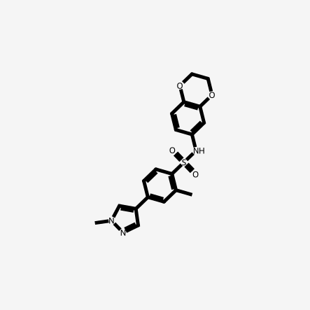 Cc1cc(-c2cnn(C)c2)ccc1S(=O)(=O)Nc1ccc2c(c1)OCCO2